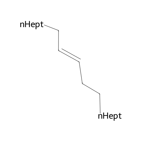 [CH2]CCCCCCCC=CCCCCCCCCC